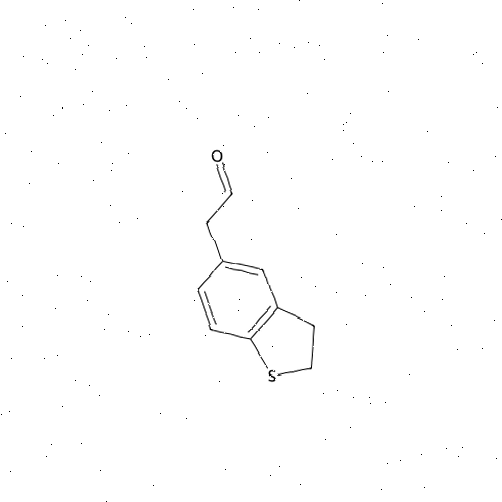 O=CCc1ccc2c(c1)CCS2